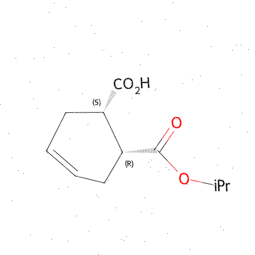 CC(C)OC(=O)[C@@H]1CC=CC[C@@H]1C(=O)O